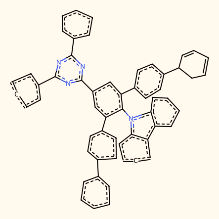 C1=CCC(c2ccc(-c3cc(-c4nc(-c5ccccc5)nc(-c5ccccc5)n4)cc(-c4ccc(-c5ccccc5)cc4)c3-n3c4ccccc4c4ccccc43)cc2)C=C1